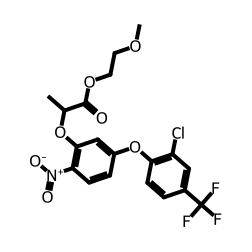 COCCOC(=O)C(C)Oc1cc(Oc2ccc(C(F)(F)F)cc2Cl)ccc1[N+](=O)[O-]